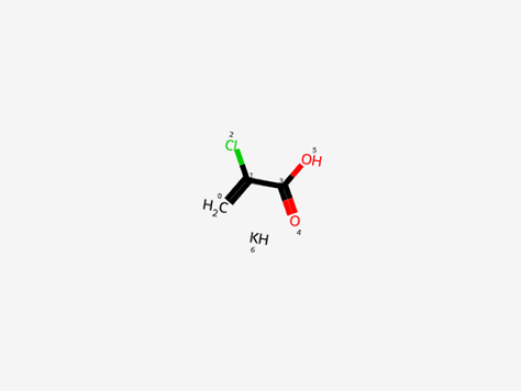 C=C(Cl)C(=O)O.[KH]